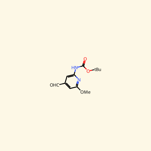 COc1cc(C=O)cc(NC(=O)OC(C)(C)C)n1